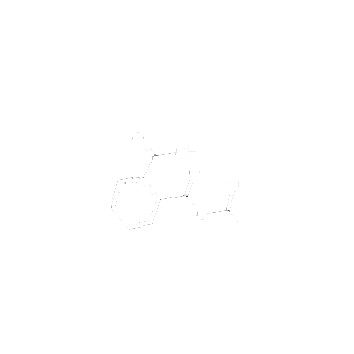 CC(=O)OC(=O)c1ccccc1C(=O)O